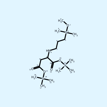 CO[Si](C)(C)CCCNC(CC(=O)O[Si](C)(C)C)C(=O)O[Si](C)(C)C